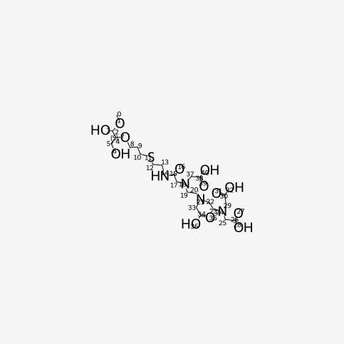 COC(O)[C@H](CO)OCCCSCCNC(=O)CN(CCN(CCN(CC(=O)O)CC(=O)O)CC(=O)O)CC(=O)O